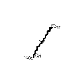 CCCCCCCCCCCCCCCCCCCCCCCCCCC(O)C=CC(=O)[O-].[Na+]